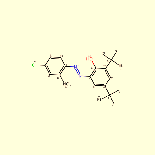 CCC(C)(C)c1cc(N=Nc2ccc(Cl)cc2[N+](=O)[O-])c(O)c(C(C)(C)CC)c1